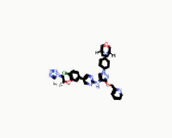 CC(Cn1cnnn1)Oc1cc(-c2cnc(Nc3cn(C4CCC(N5[C@@H]6CC[C@H]5COC6)CC4)nc3OCc3ccccn3)nc2)ccc1Cl